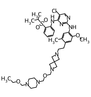 CCOCN1CCN(COCN2CC3(CN(CCc4cc(OC)c(Nc5ncc(Cl)c(Nc6ccccc6S(=O)(=O)C(C)C)n5)cc4C)C3)C2)CC1